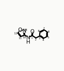 O=C(Cc1ccccc1)Nc1ccon1